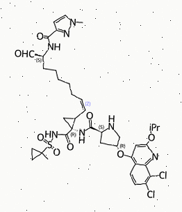 CC(C)Oc1cc(O[C@H]2CN[C@H](C(=O)N[C@]3(C(=O)NS(=O)(=O)C4(C)CC4)CC3/C=C\CCCCC[C@@H](C=O)NC(=O)c3ccn(C)n3)C2)c2ccc(Cl)c(Cl)c2n1